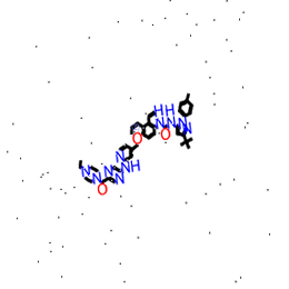 C=Cc1c(NC(=O)Nc2cc(C(C)(C)C)nn2-c2ccc(C)cc2)ccc(OCc2ccnc(Nc3cnc(C(=O)N4CCN(CC)CC4)cn3)c2)c1/C=C\C